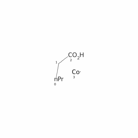 CCCCC(=O)O.[Co]